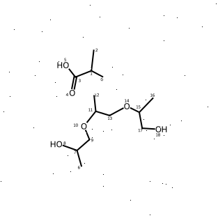 CC(C)C(=O)O.CC(O)COC(C)COC(C)CO